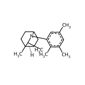 Cc1cc(C)c(C)c(N2C3CCC(C)(CC3)[C@@H]2C)c1